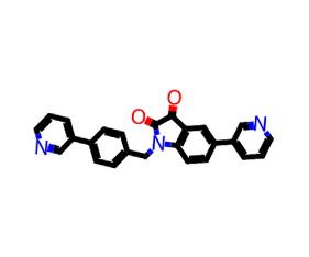 O=C1C(=O)N(Cc2ccc(-c3cccnc3)cc2)c2ccc(-c3cccnc3)cc21